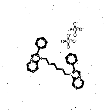 [O-][Cl+3]([O-])([O-])[O-].[O-][Cl+3]([O-])([O-])[O-].c1ccc(-c2c[n+]3ccccc3n2CCCCCCn2c(-c3ccccc3)c[n+]3ccccc23)cc1